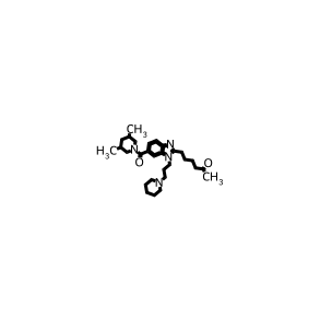 CC(=O)CCCCc1nc2ccc(C(=O)N3CC(C)CC(C)C3)cc2n1CCCN1CCCCC1